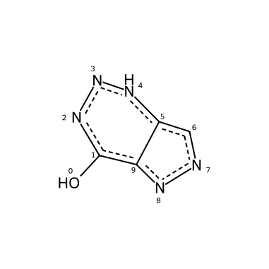 Oc1nn[nH]c2cnnc1-2